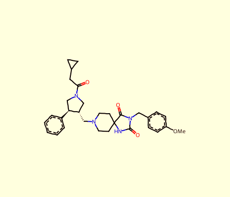 COc1ccc(CN2C(=O)NC3(CCN(C[C@H]4CN(C(=O)CC5CC5)C[C@@H]4c4ccccc4)CC3)C2=O)cc1